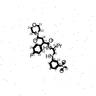 CC(C)[C@@H](CNc1cccc(S(C)(=O)=O)c1)NC(=O)C(CC(=O)N1CCOCC1)c1ccc(F)cc1